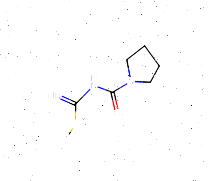 CSC(=N)NC(=O)N1CCCC1